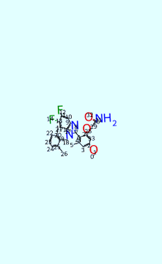 COc1cc(C)c(-c2nc3cc(F)c(F)cc3n2Cc2c(C)cccc2C)c(OCC(N)=O)c1